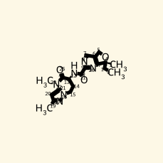 CC[C@@]1(C)OCc2cnc(C(=O)N[C@H]3CCn4nc(C)cc4N(C)C3=O)nc21